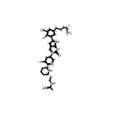 CC(=N)NCC[C@@H]1CCC[C@@H](c2ncc(-n3cc4cc(-c5cc(CCC[C@H](C)N)cc(Cl)c5F)[nH]c4nc3=O)cc2F)N1